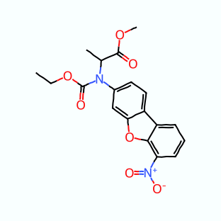 CCOC(=O)N(c1ccc2c(c1)oc1c([N+](=O)[O-])cccc12)C(C)C(=O)OC